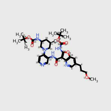 COCCCc1cnc2c(C(=O)Nc3cnccc3N3CC(NC(=O)OC(C)(C)C)C[C@@H](C)C3)c(NC(=O)OC(C)(C)C)oc2c1